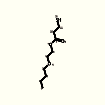 CCCCOCCOC(=O)CCS